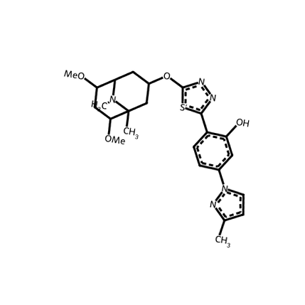 COC1CC(OC)C2(C)CC(Oc3nnc(-c4ccc(-n5ccc(C)n5)cc4O)s3)CC1N2C